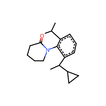 CC(C)c1cccc(C(C)C2CC2)c1N1CCCCC1=O